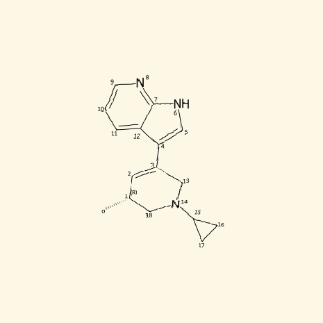 C[C@@H]1C=C(c2c[nH]c3ncccc23)CN(C2CC2)C1